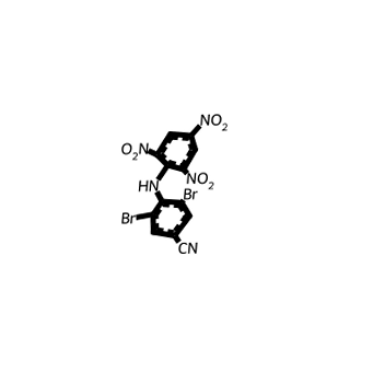 N#Cc1cc(Br)c(Nc2c([N+](=O)[O-])cc([N+](=O)[O-])cc2[N+](=O)[O-])c(Br)c1